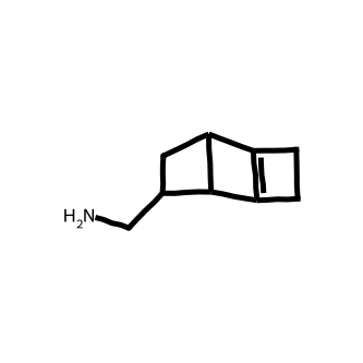 NCC1CC2C3=C(CC3)C12